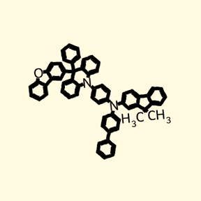 CC1(C)c2ccccc2-c2ccc(N(c3ccc(-c4ccccc4)cc3)c3ccc(N4c5ccccc5C(c5ccccc5)(c5ccc6oc7ccccc7c6c5)c5ccccc54)cc3)cc21